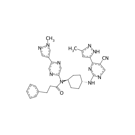 Cc1cc(-c2nc(N[C@H]3CC[C@H](N(C(=O)CCc4ccccc4)c4cnc(-c5cnn(C)c5)cn4)CC3)ncc2C#N)[nH]n1